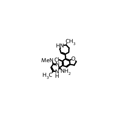 CNC1=NC(N)(c2cc3c(c(C4=CCN[C@@H](C)CC4)c2Cl)OCC3)NC(C)=C1